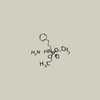 CCOP(=O)(NCCCc1ccccc1)OCC.N